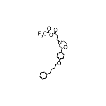 O=C(CCN1CCOC(c2ccc(OCCCCc3ccccc3)cc2)C1)OC(=O)C(F)(F)F